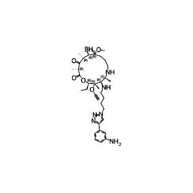 B[C@@H]1[C@@H](C)C(=O)[C@@H](C)C(=O)O[C@H](CC)[C@@](C)(OC#C)[C@H](NCCCCn2cc(-c3cccc(N)c3)nn2)[C@H](C)NCCC[C@@]1(C)OC